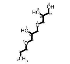 CCCOCC(O)COCC(O)CO